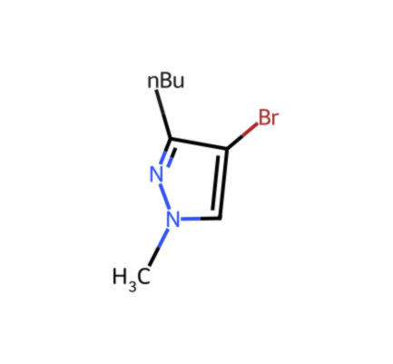 CCCCc1nn(C)cc1Br